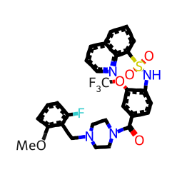 COc1cccc(F)c1CN1CCN(C(=O)c2ccc(NS(=O)(=O)c3cccc4cccnc34)c(OC(F)(F)F)c2)CC1